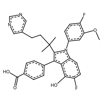 COc1cc(-n2c(C(C)(C)CCc3cncnc3)c(-c3ccc(C(=O)O)cc3)c3c(O)c(F)ccc32)ccc1F